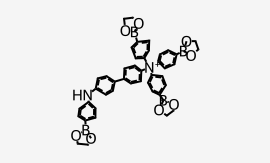 c1cc(B2OCCO2)ccc1Nc1ccc(-c2ccc([N+](c3ccc(B4OCCO4)cc3)(c3ccc(B4OCCO4)cc3)c3ccc(B4OCCO4)cc3)cc2)cc1